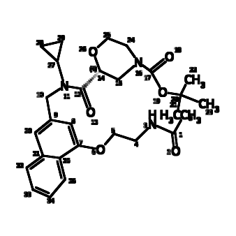 CC(=O)NCCOc1cc(CN(C(=O)[C@H]2CN(C(=O)OC(C)(C)C)CCO2)C2CC2)cc2ccccc12